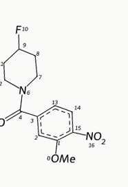 COc1cc(C(=O)N2CCC(F)CC2)ccc1[N+](=O)[O-]